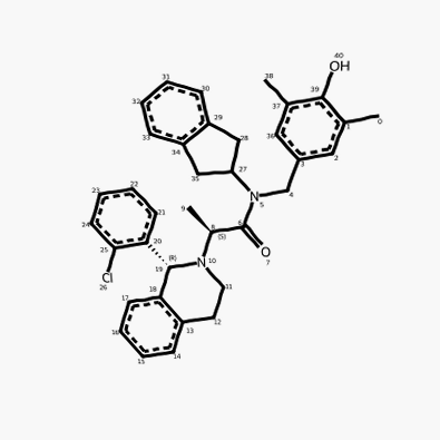 Cc1cc(CN(C(=O)[C@H](C)N2CCc3ccccc3[C@@H]2c2ccccc2Cl)C2Cc3ccccc3C2)cc(C)c1O